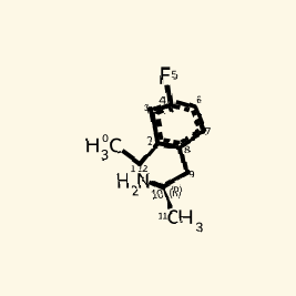 CCc1cc(F)ccc1C[C@@H](C)N